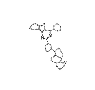 c1ccc(-c2nc(-c3cccc(-c4cccc5c4ccc4cccnc45)c3)nc3c2sc2ccccc23)cc1